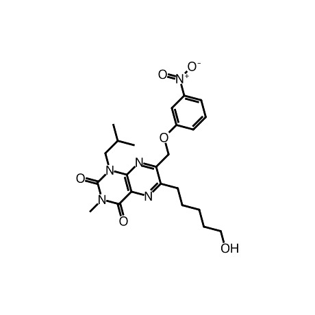 CC(C)Cn1c(=O)n(C)c(=O)c2nc(CCCCCO)c(COc3cccc([N+](=O)[O-])c3)nc21